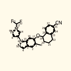 Cc1cc2cnn(-c3cnn(C(F)F)c3)c2cc1OC1CCCc2cc(C#N)ccc21